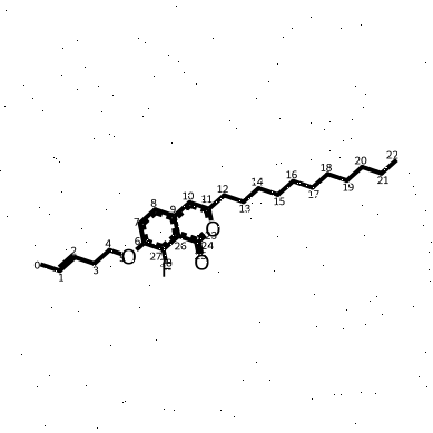 C/C=C/CCOc1ccc2cc(CCCCCCCCCCC)oc(=O)c2c1F